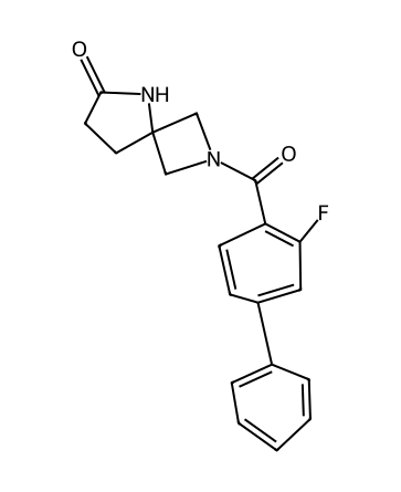 O=C1CCC2(CN(C(=O)c3ccc(-c4ccccc4)cc3F)C2)N1